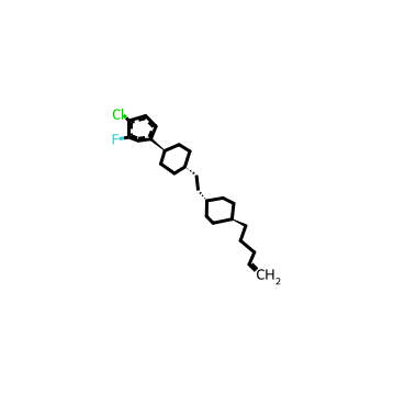 C=CCCC[C@H]1CC[C@H](CC[C@H]2CC[C@H](c3ccc(Cl)c(F)c3)CC2)CC1